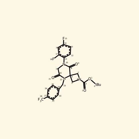 CC(C)(C)OC(=O)N1CC2(C1)C(=O)N(c1ccc(F)cc1F)CC(=O)N2Cc1ccc(C(F)(F)F)cc1